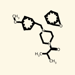 COc1ccc(CN2CCN(C(=O)C(C)C)CC2)cc1.c1ccc2c(c1)O2